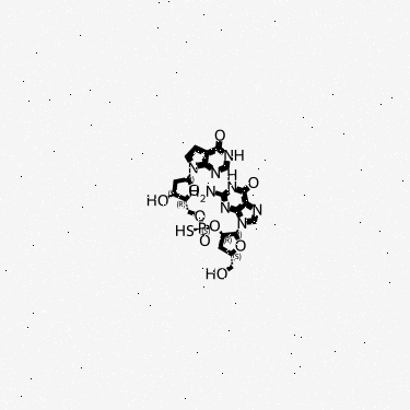 Nc1nc2c(ncn2[C@@H]2O[C@H](CO)C[C@H]2O[P@@](=O)(S)OC[C@H]2O[C@@H](n3ccc4c(=O)[nH]cnc43)C[C@@H]2O)c(=O)[nH]1